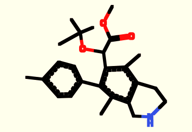 COC(=O)C(OC(C)(C)C)c1c(C)c2c(c(C)c1-c1ccc(C)cc1)CNCC2